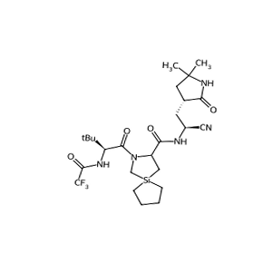 CC1(C)C[C@@H](C[C@@H](C#N)NC(=O)C2C[Si]3(CCCC3)CN2C(=O)[C@@H](NC(=O)C(F)(F)F)C(C)(C)C)C(=O)N1